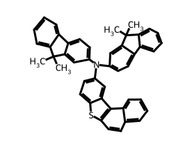 CC1(C)c2ccccc2-c2ccc(N(c3ccc4c(c3)C(C)(C)c3ccccc3-4)c3ccc4sc5ccc6ccccc6c5c4c3)cc21